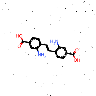 Nc1cc(C(=O)O)ccc1C=Cc1ccc(C(=O)O)cc1N